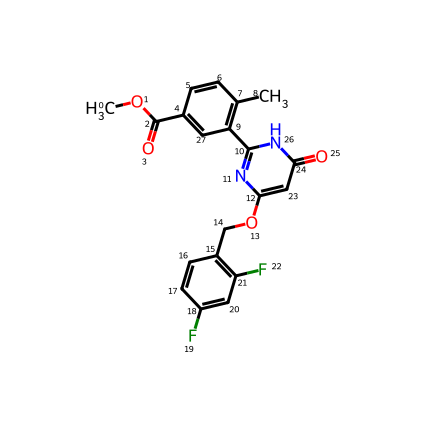 COC(=O)c1ccc(C)c(-c2nc(OCc3ccc(F)cc3F)cc(=O)[nH]2)c1